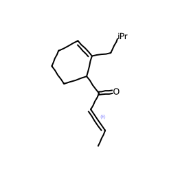 C/C=C/C(=O)C1CCCC=C1CC(C)C